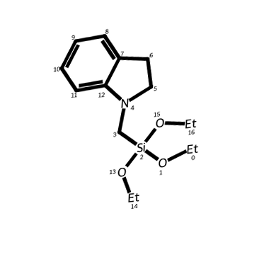 CCO[Si](CN1CCc2ccccc21)(OCC)OCC